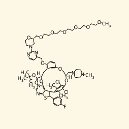 COCCOCCOCCOCCOCCOC[C@H]1CN(c2nccc(COc3ccc4cc3C[C@H](C(=O)OC(C)(C)C)Oc3ncnc5sc(-c6ccc(F)cc6)c(c35)-c3c(C)c(Cl)c(c(Cl)c3C)O[C@H](CN3CCN(C)CC3)CO4)n2)CCO1